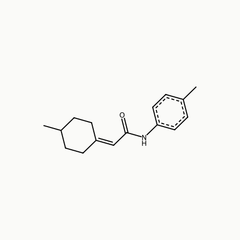 Cc1ccc(NC(=O)C=C2CCC(C)CC2)cc1